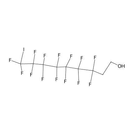 OCCC(F)(F)C(F)(F)C(F)(F)C(F)(F)C(F)(F)C(F)(F)C(F)(F)I